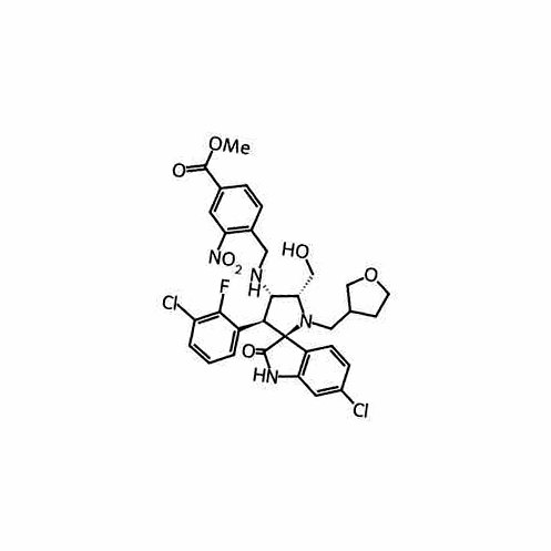 COC(=O)c1ccc(CN[C@@H]2[C@H](CO)N(CC3CCOC3)[C@@]3(C(=O)Nc4cc(Cl)ccc43)[C@H]2c2cccc(Cl)c2F)c([N+](=O)[O-])c1